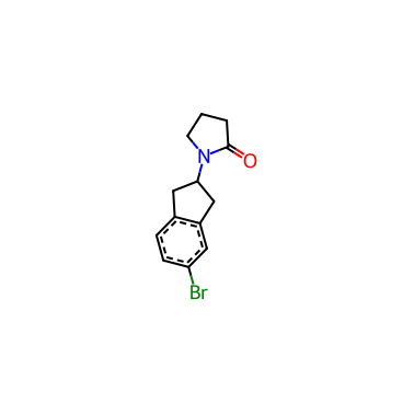 O=C1CCCN1C1Cc2ccc(Br)cc2C1